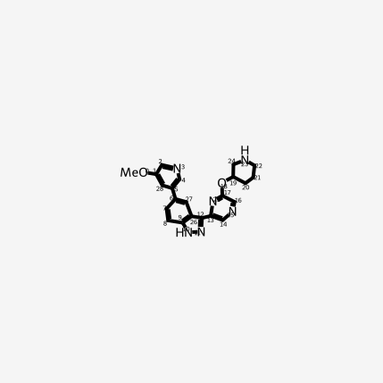 COc1cncc(-c2ccc3[nH]nc(-c4cncc(OC5CCCNC5)n4)c3c2)c1